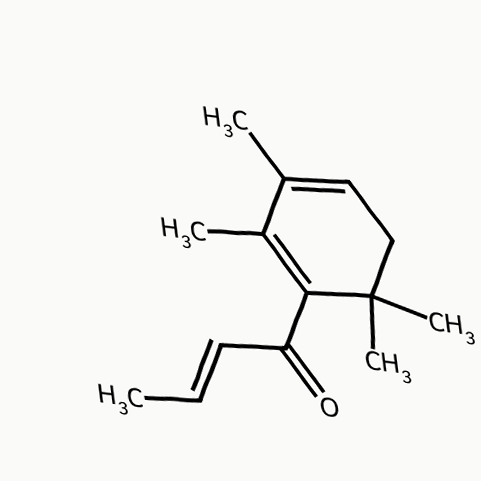 CC=CC(=O)C1=C(C)C(C)=CCC1(C)C